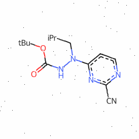 CC(C)CN(NC(=O)OC(C)(C)C)c1ccnc(C#N)n1